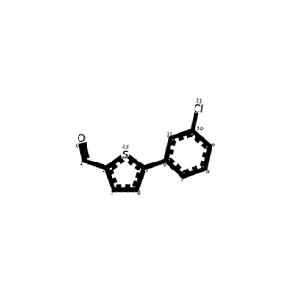 O=Cc1ccc(-c2cccc(Cl)c2)s1